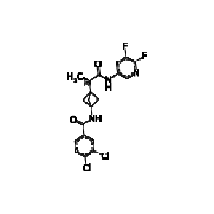 C[C@@H](C(=O)Nc1cnc(F)c(F)c1)C12CC(NC(=O)c3ccc(Cl)c(Cl)c3)(C1)C2